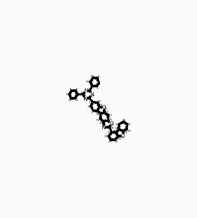 c1ccc(-c2nc(-c3ccccc3)nc(-c3ccc4c(c3)oc3cc5oc(-c6cccc7oc8ccccc8c67)nc5cc34)n2)cc1